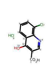 Cl.O=C(O)c1cnc2c(Cl)cccc2c1O